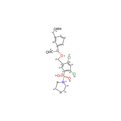 COCc1cccc(C(C=O)OCc2cc(S(=O)(=O)N3CCCCC3)c(Cl)cc2Cl)c1